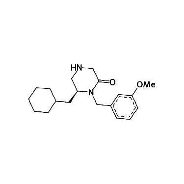 COc1cccc(CN2C(=O)CNC[C@@H]2CC2CCCCC2)c1